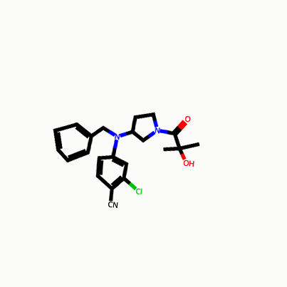 CC(C)(O)C(=O)N1CCC(N(Cc2ccccc2)c2ccc(C#N)c(Cl)c2)C1